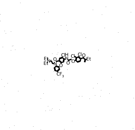 C=C(CC)C(=O)c1ccc(OCC(=O)Nc2cc3c(cc2Cl)C(=O)N(CCN(CC)CC)c2ccc(C(F)(F)F)cc2O3)c(Cl)c1Cl